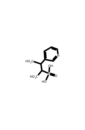 O=C(O)C(c1cccnc1)C(C(=O)O)P(=O)(O)O